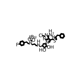 CC(C)(C)OC(=O)N(CCCNC[C@H]1C[C@@H](n2cc(-c3nc(Cc4ccccc4)cs3)c3c(N)nc(Cl)nc32)[C@H](O)[C@@H]1O)CCc1ccc(F)cc1